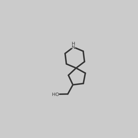 OCC1CCC2(CCNCC2)C1